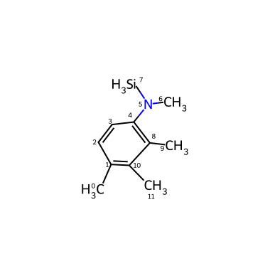 Cc1ccc(N(C)[SiH3])c(C)c1C